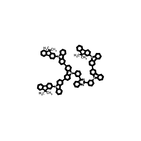 CC1(C)c2ccccc2-c2ccc(-n3c4ccccc4c4cc(-c5ccc6c(c5)c5ccccc5n6-c5cccc(-c6nc(-c7cccc(-n8c9ccc(-c%10ccc%11c(c%10)c%10ccccc%10n%11-c%10ccc%11c(c%10)C(C)(C)c%10ccccc%10-%11)cc9c9cc(-c%10ccc%11c(c%10)c%10ccccc%10n%11-c%10ccc%11c(c%10)C(C)(C)c%10ccccc%10-%11)ccc98)c7)c7ccccc7n6)c5)ccc43)cc21